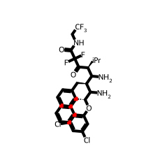 CC(C)[C@H](C(=O)C(F)(F)C(=O)NCC(F)(F)F)C(N)[C@H](Cc1ccccc1)C(N)[C@@H](Cc1ccccc1)Oc1cc(Cl)cc(Cl)c1